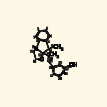 CC1(C)c2ccccc2N2CCOC21C=Cc1cccc(O)c1